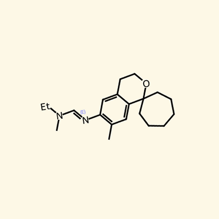 CCN(C)/C=N/c1cc2c(cc1C)C1(CCCCCC1)OCC2